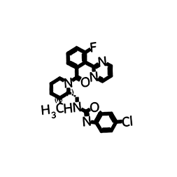 C[C@@H]1CCCN(C(=O)c2cccc(F)c2-c2ncccn2)[C@@H]1CNc1nc2ccc(Cl)cc2o1